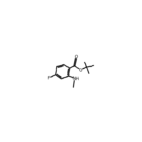 CNc1cc(F)ccc1C(=O)OC(C)(C)C